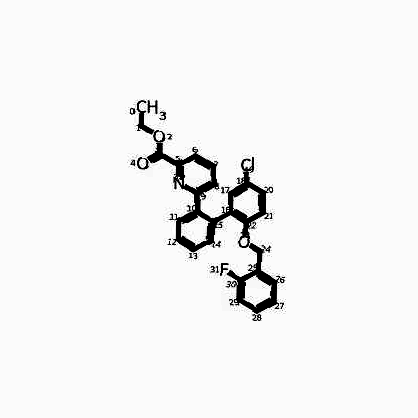 CCOC(=O)c1cccc(-c2ccccc2-c2cc(Cl)ccc2OCc2ccccc2F)n1